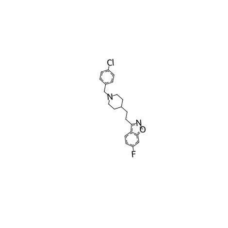 Fc1ccc2c(CCC3CCN(Cc4ccc(Cl)cc4)CC3)noc2c1